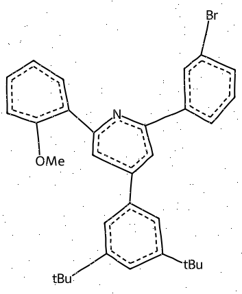 COc1ccccc1-c1cc(-c2cc(C(C)(C)C)cc(C(C)(C)C)c2)cc(-c2cccc(Br)c2)n1